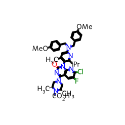 COc1ccc(CN(Cc2ccc(OC)cc2)c2cc(C)c(-n3c(=O)nc(N4C[C@@H](C)N(C(=O)O)[C@@H](C)C4)c4cc(F)c(Cl)nc43)c(C(C)C)n2)cc1